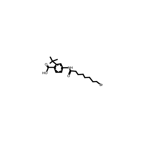 CC(C)(C)c1cc(NC(=O)CCCCCCCBr)ccc1C(=O)O